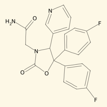 NC(=O)CN1C(=O)OC(c2ccc(F)cc2)(c2ccc(F)cc2)C1c1cccnc1